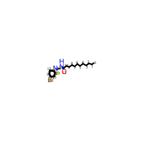 CCCCCCCCCCCC(=O)Nc1nc2ccc(Br)cc2s1